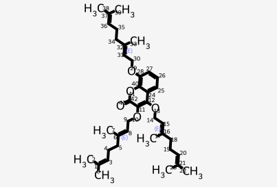 CC(C)=CCC/C(C)=C/COc1c(OC/C=C(\C)CCC=C(C)C)c2cccc(OC/C=C(\C)CCC=C(C)C)c2oc1=O